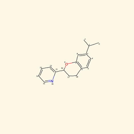 CC(C)c1ccc2c(c1)OC(c1ccccn1)CC2